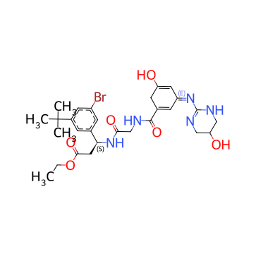 CCOC(=O)C[C@H](NC(=O)CNC(=O)C1=C/C(=N\C2=NCC(O)CN2)C=C(O)C1)c1cc(Br)cc(C(C)(C)C)c1